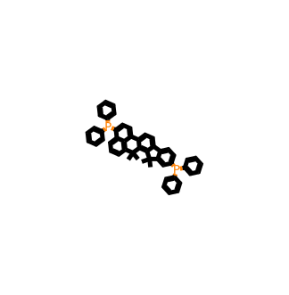 CC1(C)c2cc(P(c3ccccc3)c3ccccc3)ccc2-c2ccc3c(c21)C(C)(C)c1cccc2c(P(c4ccccc4)c4ccccc4)ccc-3c12